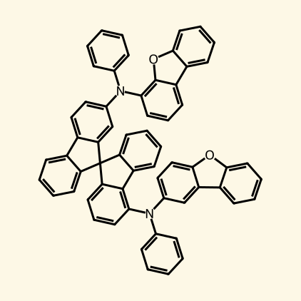 c1ccc(N(c2ccc3oc4ccccc4c3c2)c2cccc3c2-c2ccccc2C32c3ccccc3-c3ccc(N(c4ccccc4)c4cccc5c4oc4ccccc45)cc32)cc1